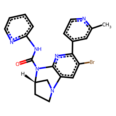 Cc1cc(-c2nc3c(cc2Br)N2CC[C@@H](C2)N3C(=O)Nc2ccccn2)ccn1